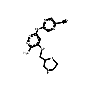 Cc1nnc(Nc2cnc(C#N)cn2)cc1NCC1CNCCO1